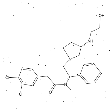 CN(C(=O)Cc1ccc(Cl)c(Cl)c1)C(CN1CCC(NCCO)C1)c1ccccc1